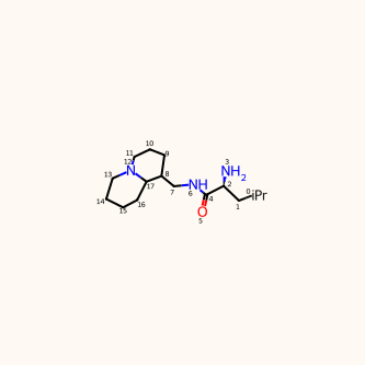 CC(C)C[C@H](N)C(=O)NCC1CCCN2CCCCC12